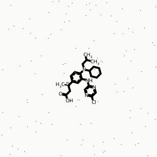 CC(C)CN(c1ccc([C@H](C)CC(=O)O)cc1Nc1cnc(Cl)cn1)C1CCCCC1